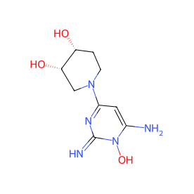 N=c1nc(N2CC[C@@H](O)[C@@H](O)C2)cc(N)n1O